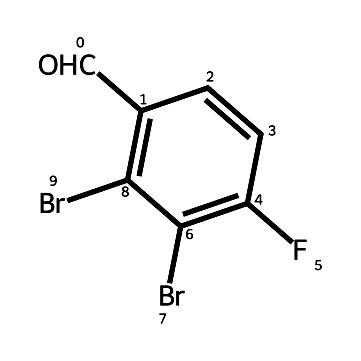 O=Cc1ccc(F)c(Br)c1Br